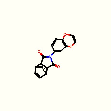 O=C1C2C3C=CC(CC3)C2C(=O)N1c1ccc2c(c1)OC=CO2